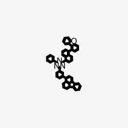 c1ccc(-c2nc(-c3cccc(-c4ccc5c6c(cccc46)-c4ccccc4-5)c3)nc(-c3cccc4c(-c5cccc6oc7ccccc7c56)cccc34)n2)cc1